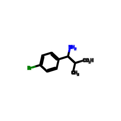 CC(C(=O)O)C(N)c1ccc(Br)cc1